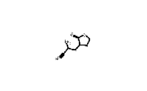 C#CC(N)CC1CCNC1=O